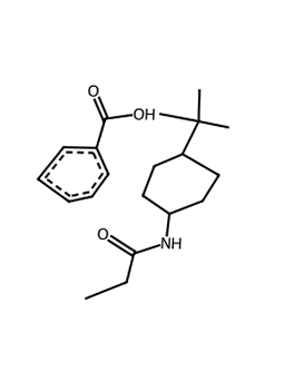 CCC(=O)NC1CCC(C(C)(C)C)CC1.O=C(O)c1ccccc1